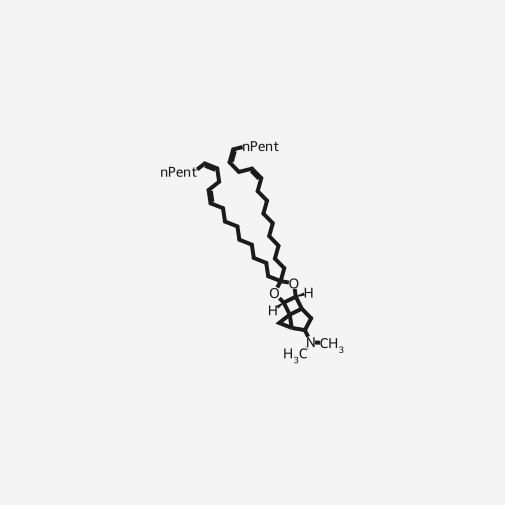 CCCCC/C=C\C/C=C\CCCCCCCCC1(CCCCCCCC/C=C\C/C=C\CCCCC)O[C@@H]2C3CC(N(C)C)C4CC43[C@@H]2O1